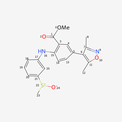 COC(=O)c1cc(-c2c(C)noc2C)ccc1Nc1cccc([S+](C)[O-])c1